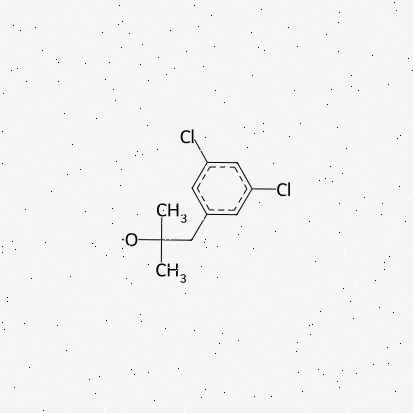 CC(C)([O])Cc1cc(Cl)cc(Cl)c1